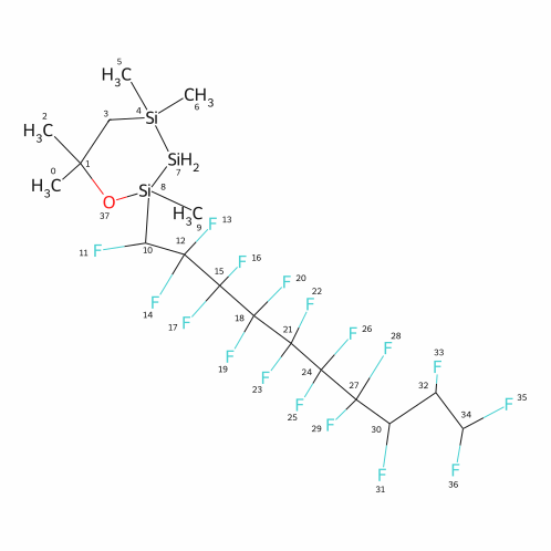 CC1(C)C[Si](C)(C)[SiH2][Si](C)(C(F)C(F)(F)C(F)(F)C(F)(F)C(F)(F)C(F)(F)C(F)(F)C(F)C(F)C(F)F)O1